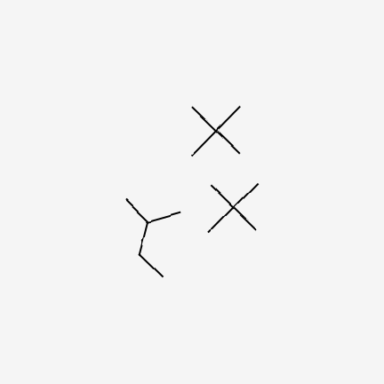 CC(C)(C)C.CC(C)(C)C.CCC(C)C